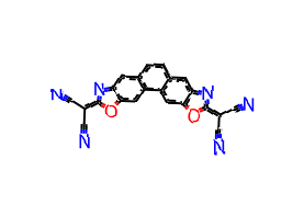 N#CC(C#N)=c1nc2cc3ccc4cc5nc(=C(C#N)C#N)oc5cc4c3cc2o1